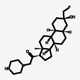 C[C@]12CC[C@H]3[C@@H](CC[C@@H]4C[C@@](O)(CF)CC[C@@H]43)[C@@H]1CC[C@@H]2C(=O)CN1CCNCC1